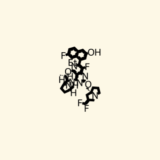 CCc1c(F)ccc2cc(O)cc(-c3nc4c5c(nc(OC[C@]67CCCN6CC(=C(F)F)C7)nc5c3F)N3C[C@H]5CC[C@H](N5)[C@H]3[C@H](C)O4)c12